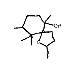 CC1CCC2(O1)C(C)(O)CCC(C)C2(C)C